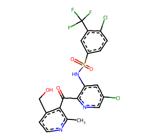 Cc1nccc(CO)c1C(=O)c1ncc(Cl)cc1NS(=O)(=O)c1ccc(Cl)c(C(F)(F)F)c1